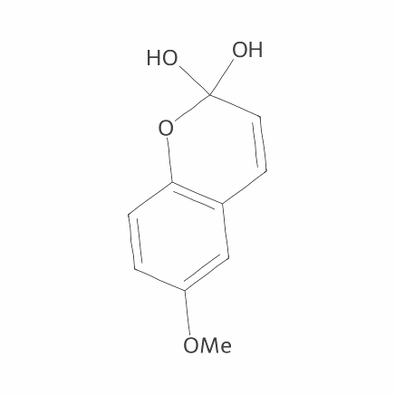 COc1ccc2c(c1)C=CC(O)(O)O2